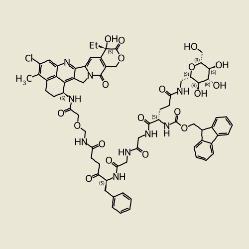 CC[C@@]1(O)C(=O)OCc2c1cc1n(c2=O)Cc2c-1nc1cc(Cl)c(C)c3c1c2[C@@H](NC(=O)COCNC(=O)CCC(=O)[C@H](Cc1ccccc1)NC(=O)CNC(=O)CNC(=O)[C@H](CCC(=O)NC[C@@H]1O[C@H](CO)[C@@H](O)[C@H](O)[C@H]1O)NC(=O)OCC1c2ccccc2-c2ccccc21)CC3